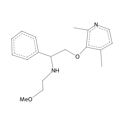 COCCNC(COc1c(C)ccnc1C)c1ccccc1